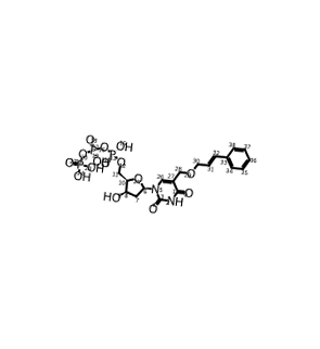 O=c1[nH]c(=O)n([C@H]2C[C@@H](O)[C@@H](COP(=O)(O)OP(=O)(O)OP(=O)(O)O)O2)cc1COC/C=C/c1ccccc1